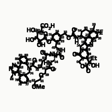 CC[C@@]1(O)C(=O)OCc2c1cc1n(c2=O)Cc2c-1nc1cc(F)c(C)c3c1c2[C@@H](NC(=O)OCc1ccc(O[C@@H]2O[C@H](C(=O)O)[C@@H](O)[C@H](O)[C@H]2O)c(CNC(=O)[C@H](CNC(=O)CCOCCOC)NC(=O)CCCCC(=O)N2Cc4ccccc4-c4c(nnn4C)-c4ccccc42)c1)CC3